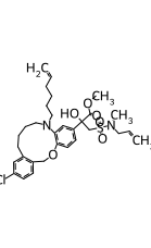 C=CCCCCN1CCCCc2cc(Cl)ccc2COc2ccc(C(O)(CS(=O)(=O)N(C)CC=C)C(=O)OC)cc21